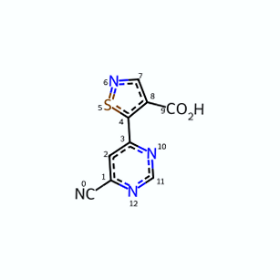 N#Cc1cc(-c2sncc2C(=O)O)ncn1